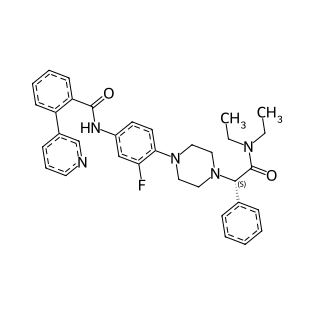 CCN(CC)C(=O)[C@H](c1ccccc1)N1CCN(c2ccc(NC(=O)c3ccccc3-c3cccnc3)cc2F)CC1